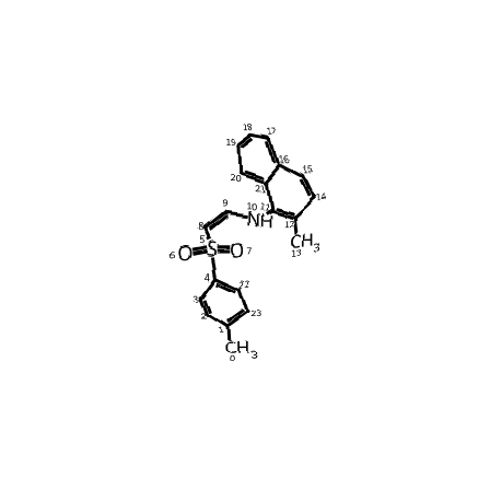 Cc1ccc(S(=O)(=O)/C=C\Nc2c(C)ccc3ccccc23)cc1